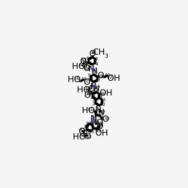 COc1ccc(/N=N/c2cc(OCCO)c(/N=N/c3c(S(=O)(=O)O)cc4cc(-n5nc(C(=O)O)c(/N=N/c6ccc(S(=O)(=O)O)cc6C(=O)O)c5O)ccc4c3O)cc2OCCO)c(S(=O)(=O)O)c1